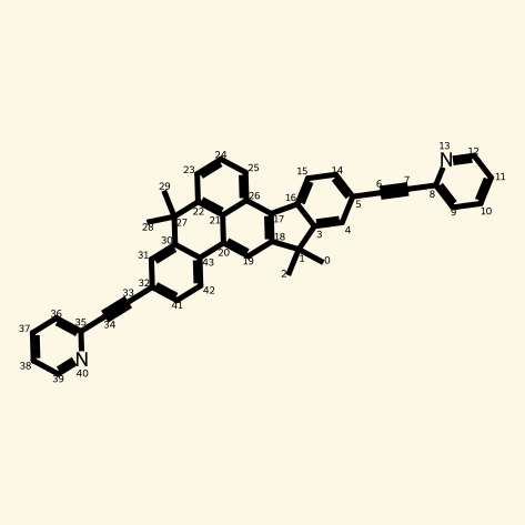 CC1(C)c2cc(C#Cc3ccccn3)ccc2-c2c1cc1c3c(cccc23)C(C)(C)c2cc(C#Cc3ccccn3)ccc2-1